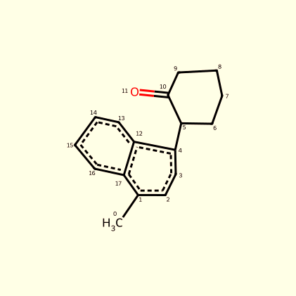 Cc1ccc(C2CCCCC2=O)c2ccccc12